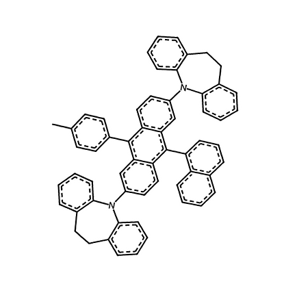 Cc1ccc(-c2c3cc(N4c5ccccc5CCc5ccccc54)ccc3c(-c3cccc4ccccc34)c3cc(N4c5ccccc5CCc5ccccc54)ccc23)cc1